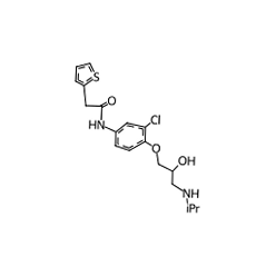 CC(C)NCC(O)COc1ccc(NC(=O)Cc2cccs2)cc1Cl